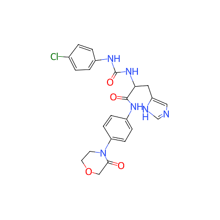 O=C(Nc1ccc(Cl)cc1)NC(Cc1cnc[nH]1)C(=O)Nc1ccc(N2CCOCC2=O)cc1